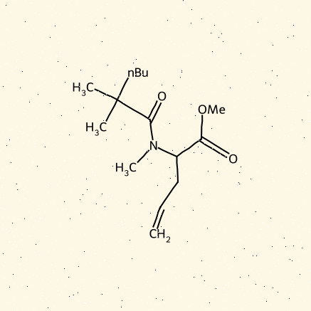 C=CCC(C(=O)OC)N(C)C(=O)C(C)(C)CCCC